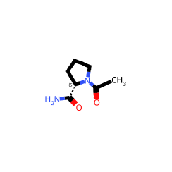 CC(=O)N1CC[CH][C@H]1C(N)=O